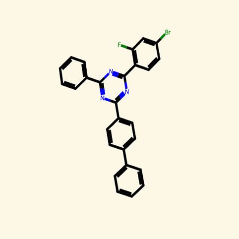 Fc1cc(Br)ccc1-c1nc(-c2ccccc2)nc(-c2ccc(-c3ccccc3)cc2)n1